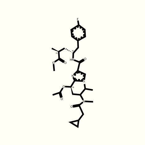 COC(=O)[C@@H](C)C[C@H](Cc1ccc(F)cc1)NC(=O)c1csc([C@@H](CC(C(C)C)N(C)C(=O)CC2CC2)OC(C)=O)n1